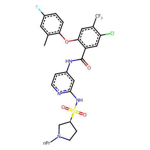 CCCN1CC[C@H](S(=O)(=O)Nc2cc(NC(=O)c3cc(Cl)c(C(F)(F)F)cc3Oc3ccc(F)cc3C)ccn2)C1